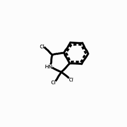 ClC1NC(Cl)(Cl)c2ccccc21